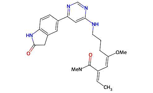 C/C=C(\C=C(/CCCNc1cc(-c2ccc3c(c2)CC(=O)N3)ncn1)OC)C(=O)NC